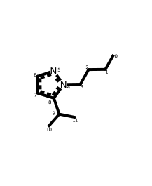 CCCCn1n[c]cc1C(C)C